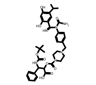 CC(C)c1cc(C(=N)N(C(N)=O)c2ccc(CN3CCN(C(=O)OC(C(=O)O)C(NC(=O)OC(C)(C)C)c4ccccc4)CC3)cc2)c(O)cc1O